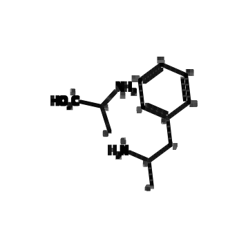 CC(N)C(=O)O.CC(N)Cc1ccccc1